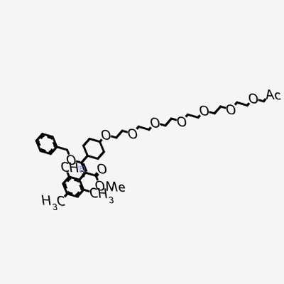 COC(=O)/C(=C(/OCc1ccccc1)C1CCC(OCCOCCOCCOCCOCCOCCOCC(C)=O)CC1)c1c(C)cc(C)cc1C